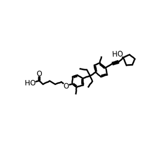 CCC(CC)(c1ccc(C#CC2(O)CCCC2)c(C)c1)c1ccc(OCCCCC(=O)O)c(C)c1